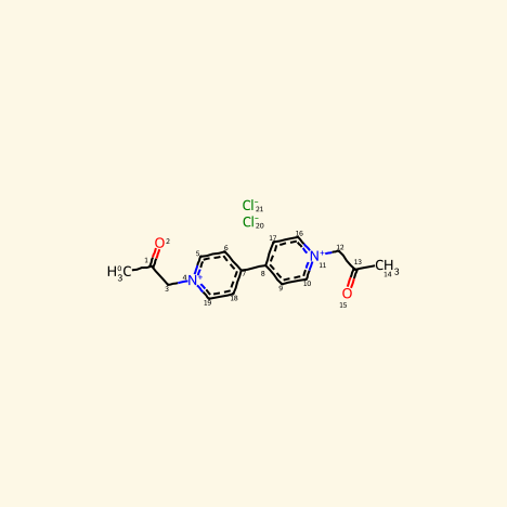 CC(=O)C[n+]1ccc(-c2cc[n+](CC(C)=O)cc2)cc1.[Cl-].[Cl-]